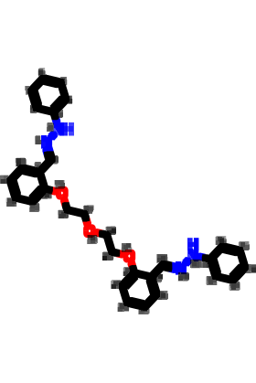 C(=NNc1ccccc1)c1ccccc1OCCOCCOc1ccccc1C=NNc1ccccc1